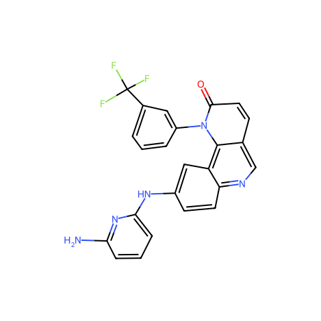 Nc1cccc(Nc2ccc3ncc4ccc(=O)n(-c5cccc(C(F)(F)F)c5)c4c3c2)n1